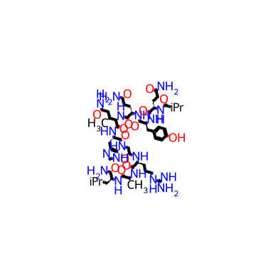 CC(C)C[C@H](NC(=O)[C@H](C)NC(=O)[C@H](CCCNC(=N)N)NC(=O)CNC(=O)[C@H](Cc1c[nH]cn1)NC(=O)[C@@H](NC(=O)[C@H](CCC(N)=O)NC(=O)[C@H](Cc1ccc(O)cc1)NC(=O)[C@H](CCC(N)=O)NC(=O)C(C)C)[C@@H](C)CC(N)=O)C(N)=O